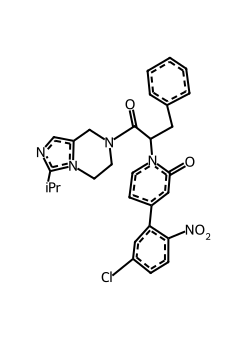 CC(C)c1ncc2n1CCN(C(=O)C(Cc1ccccc1)n1ccc(-c3cc(Cl)ccc3[N+](=O)[O-])cc1=O)C2